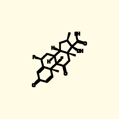 C[C@@H]1C[C@H]2[C@@H]3C[C@H](F)C4=CC(=O)C=C[C@]4(C)[C@@]3(F)C(=O)C[C@]2(C)[C@@]1(O)C(=O)S